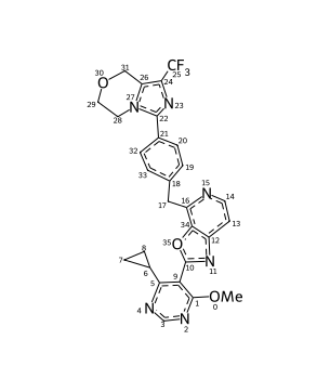 COc1ncnc(C2CC2)c1-c1nc2ccnc(Cc3ccc(-c4nc(C(F)(F)F)c5n4CCOC5)cc3)c2o1